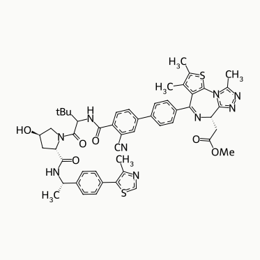 COC(=O)C[C@@H]1N=C(c2ccc(-c3ccc(C(=O)NC(C(=O)N4C[C@H](O)C[C@H]4C(=O)N[C@@H](C)c4ccc(-c5scnc5C)cc4)C(C)(C)C)c(C#N)c3)cc2)c2c(sc(C)c2C)-n2c(C)nnc21